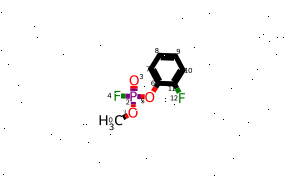 COP(=O)(F)Oc1ccccc1F